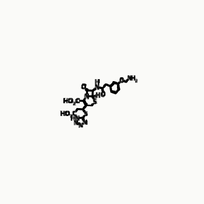 NCOc1cccc(CC(=O)NC2C(=O)N3C(C(=O)O)=C(C(CC(=O)O)Sc4nnn[nH]4)CS[C@@H]23)c1